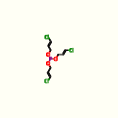 ClC=CCOP(OCC=CCl)OCC=CCl